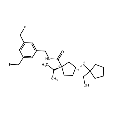 CC(C)[C@]1(C(=O)NCc2cc(CF)cc(CF)c2)CC[C@@H](NC2(CO)CCCC2)C1